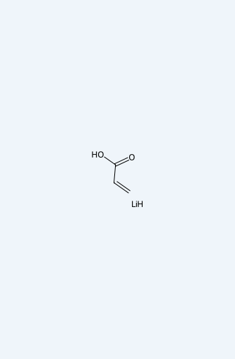 C=CC(=O)O.[LiH]